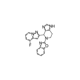 Fc1cccn2nc(C3c4nc[nH]c4CCN3c3nc4ccccc4o3)cc12